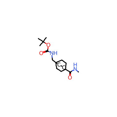 CNC(=O)C12CCC(CNC(=O)OC(C)(C)C)(CC1)CC2